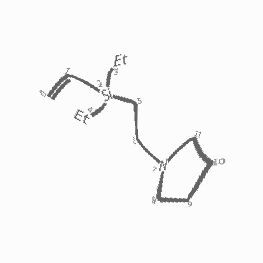 C=C[Si](CC)(CC)CCN1CCCC1